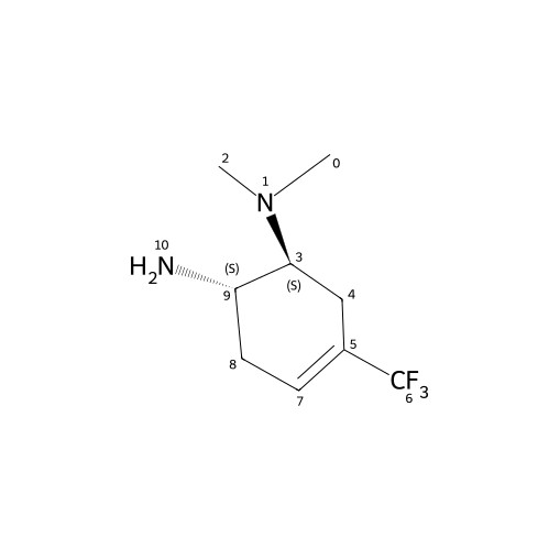 CN(C)[C@H]1CC(C(F)(F)F)=CC[C@@H]1N